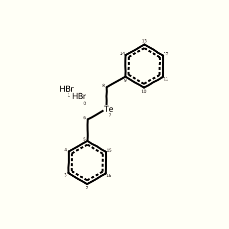 Br.Br.c1ccc(C[Te]Cc2ccccc2)cc1